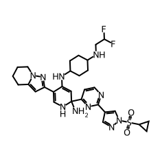 NC1(c2ccnc(-c3cnn(S(=O)(=O)C4CC4)c3)n2)C=C(NC2CCC(NCC(F)F)CC2)C(c2cc3n(n2)CCCC3)=CN1